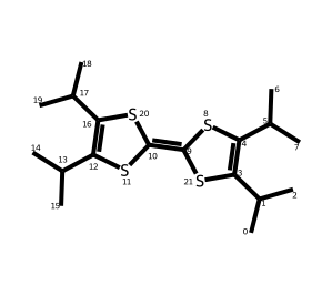 CC(C)C1=C(C(C)C)SC(=C2SC(C(C)C)=C(C(C)C)S2)S1